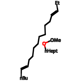 CC/C=C/CCCCCCCC/C=C/CCCC.CCCCCCCOOC